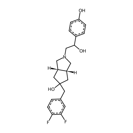 Oc1ccc(C(O)CN2C[C@@H]3CC(O)(Cc4ccc(F)c(F)c4)C[C@@H]3C2)cc1